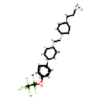 CCC[C@H]1CC[C@H](CC[C@H]2CC[C@H](c3ccc(OC(F)(F)C(F)(F)F)cc3)CC2)CC1